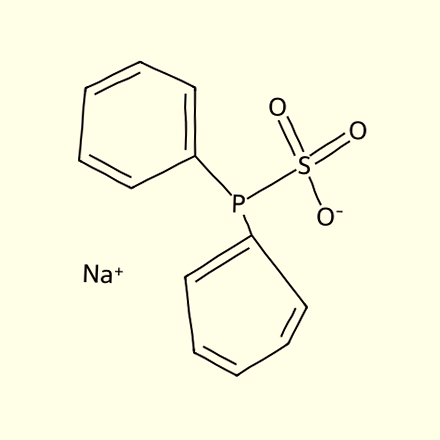 O=S(=O)([O-])P(c1ccccc1)c1ccccc1.[Na+]